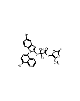 CCC(C)(Sc1nc2cc(Br)ccc2n1-c1ccc(C#N)c2ccccc12)C(=O)Oc1oc(=O)oc1C